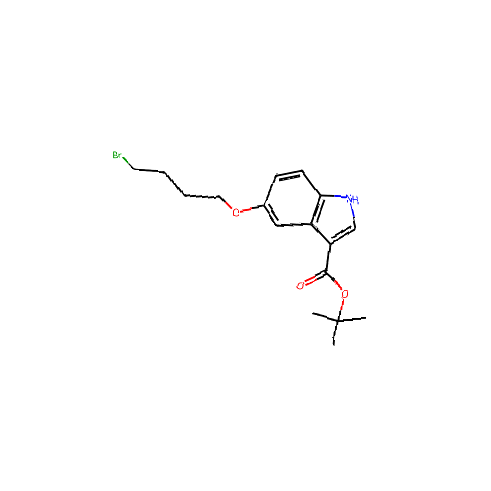 CC(C)(C)OC(=O)c1c[nH]c2ccc(OCCCCBr)cc12